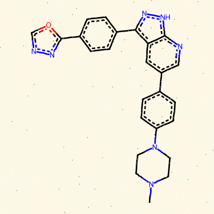 CN1CCN(c2ccc(-c3cnc4[nH]nc(-c5ccc(-c6nnco6)cc5)c4c3)cc2)CC1